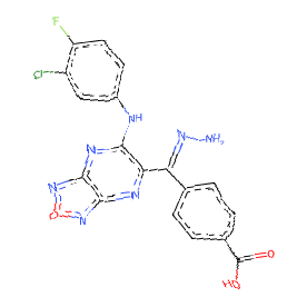 NN=C(c1ccc(C(=O)O)cc1)c1nc2nonc2nc1Nc1ccc(F)c(Cl)c1